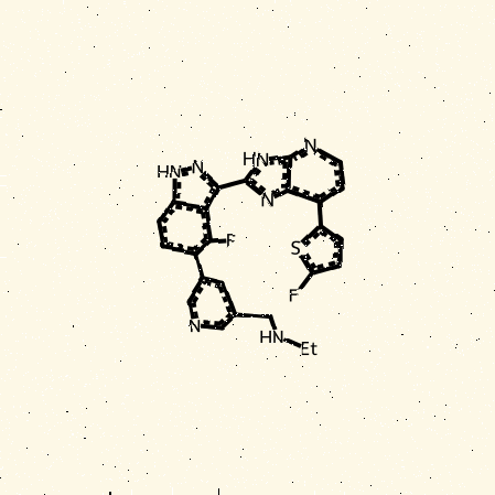 CCNCc1cncc(-c2ccc3[nH]nc(-c4nc5c(-c6ccc(F)s6)ccnc5[nH]4)c3c2F)c1